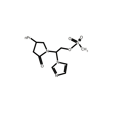 CCCC1CC(=O)N(C(COS(C)(=O)=O)n2ccnc2)C1